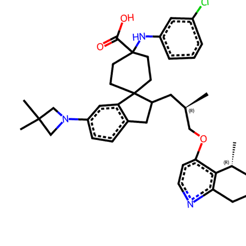 C[C@@H](COc1ccnc2c1[C@H](C)CCC2)CC1Cc2ccc(N3CC(C)(C)C3)cc2C12CCC(Nc1cccc(Cl)c1)(C(=O)O)CC2